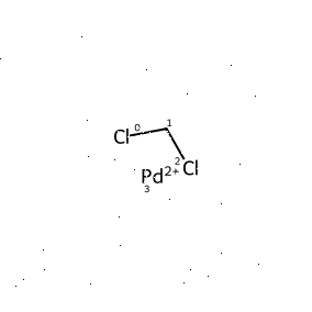 ClCCl.[Pd+2]